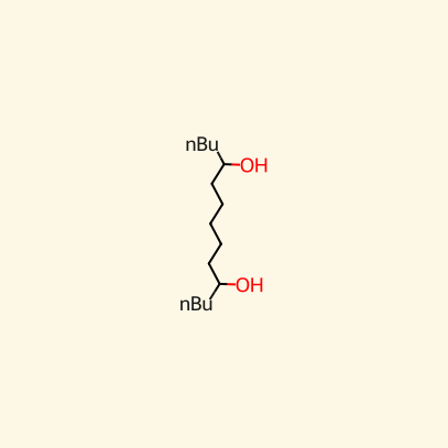 CCCCC(O)CCCCCC(O)CCCC